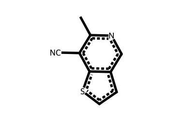 Cc1ncc2ccsc2c1C#N